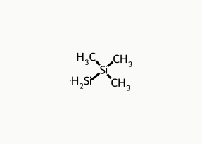 C[Si](C)(C)[SiH2]